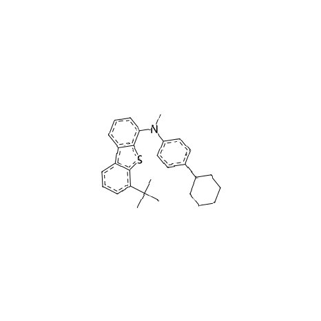 CN(c1ccc(C2CCCCC2)cc1)c1cccc2c1sc1c(C(C)(C)C)cccc12